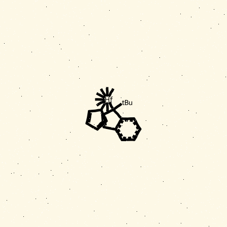 CC(C)(C)[C]1([Hf]([CH3])([CH3])([CH3])([CH3])([CH3])([CH3])([CH3])[CH]2C=CC=C2)C=Cc2ccccc21